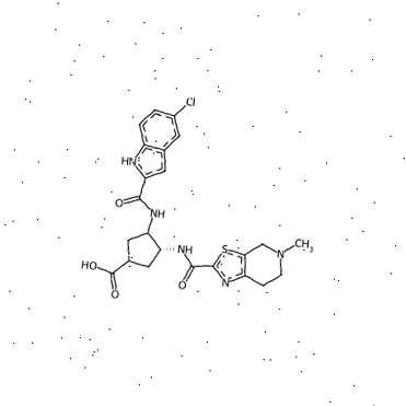 CN1CCc2nc(C(=O)N[C@@H]3CC(C(=O)O)CC3NC(=O)c3cc4cc(Cl)ccc4[nH]3)sc2C1